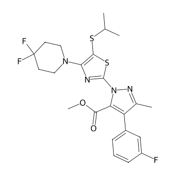 COC(=O)c1c(-c2cccc(F)c2)c(C)nn1-c1nc(N2CCC(F)(F)CC2)c(SC(C)C)s1